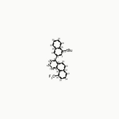 CC(C)(C)c1cc(-c2nnnc3c2ccc2cccc(C(F)(F)F)c23)cc2ccccc12